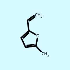 C=Cc1ccc(C)o1